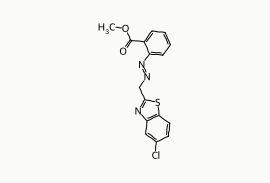 COC(=O)c1ccccc1N=NCc1nc2cc(Cl)ccc2s1